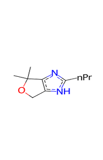 CCCc1nc2c([nH]1)COC2(C)C